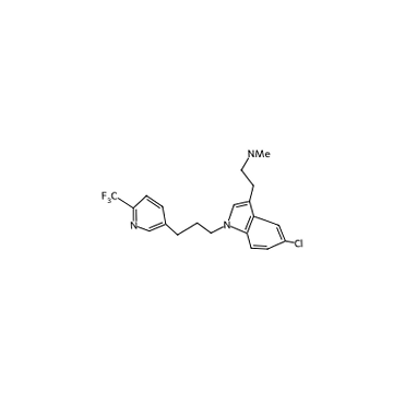 CNCCc1cn(CCCc2ccc(C(F)(F)F)nc2)c2ccc(Cl)cc12